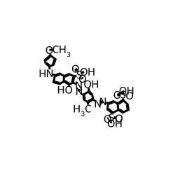 COc1ccc(Nc2ccc3c(O)c(N=Nc4cc(C)c(N=Nc5cc(S(=O)(=O)O)c6cccc(S(=O)(=O)O)c6c5)cc4O)c(S(=O)(=O)O)cc3c2)cc1